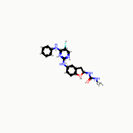 CNC(=O)NC1Cc2cc(Nc3ncc(F)c(Nc4ccccc4)n3)ccc2O1